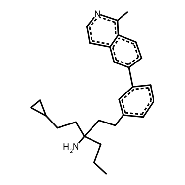 CCCC(N)(CCc1cccc(-c2ccc3c(C)nccc3c2)c1)CCC1CC1